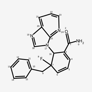 NC(=O)C1=CC=CC(F)(Cc2ccccc2)C1n1cnc2cccnc21